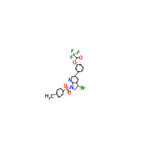 Cc1ccc(S(=O)(=O)N2CC(Br)c3cc(-c4cccc(OC(=O)C(F)(F)F)c4)cnc32)cc1